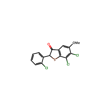 COc1cc2c(c(Cl)c1Cl)SC(c1ccccc1Cl)C2=O